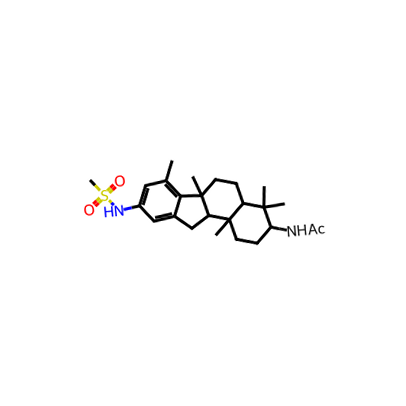 CC(=O)NC1CCC2(C)C3Cc4cc(NS(C)(=O)=O)cc(C)c4C3(C)CCC2C1(C)C